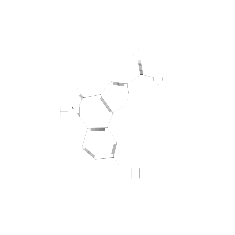 Cc1ccc2[nH]c(=O)c3cc(C(=O)O)sc3c2c1